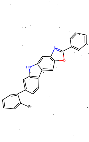 CC(C)c1ccccc1-c1ccc2c(c1)[nH]c1cc3nc(-c4ccccc4)oc3cc12